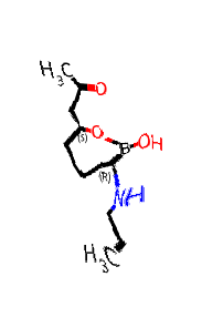 CCCN[C@H]1CC[C@@H](CC(C)=O)OB1O